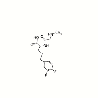 CNCC(=O)NC(CCCc1ccc(F)c(F)c1)C(=O)O